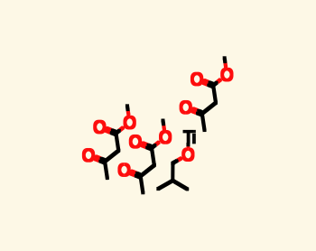 CC(C)C[O][Ti].COC(=O)CC(C)=O.COC(=O)CC(C)=O.COC(=O)CC(C)=O